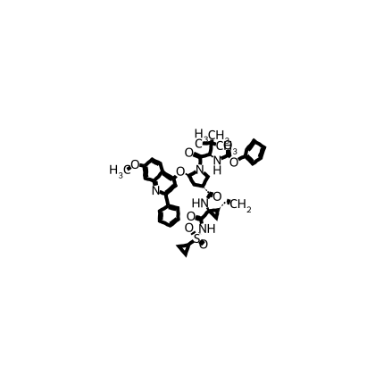 C=C[C@@H]1C[C@]1(NC(=O)[C@@H]1C[C@H](Oc2cc(-c3ccccc3)nc3cc(OC)ccc23)N(C(=O)[C@@H](NC(=O)Oc2ccccc2)C(C)(C)C)C1)C(=O)NS(=O)(=O)C1CC1